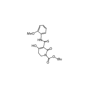 COc1ccccc1NC(=S)C1=C(O)CCN(C(=O)OC(C)(C)C)C1=O